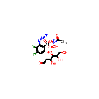 CC(=O)NO[As](=O)(OO)c1ccc(F)c(F)c1N=[N+]=[N-].O=CCC(O)C(O)C(O)CO